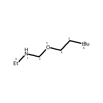 CCNCOCCC(C)(C)C